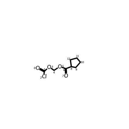 O=C(Cl)OCOC(=O)C1CCCC1